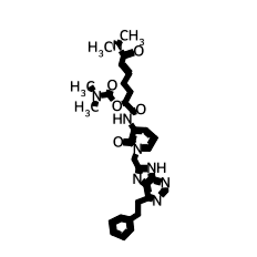 CN(C)C(=O)C=CCCC(OC(=O)N(C)C)C(=O)Nc1cccn(Cc2nc3c(CCc4ccccc4)ncnc3[nH]2)c1=O